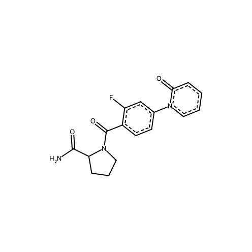 NC(=O)C1CCCN1C(=O)c1ccc(-n2ccccc2=O)cc1F